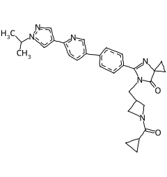 CC(C)n1cc(-c2ccc(-c3ccc(C4=NC5(CC5)C(=O)N4CC4CN(C(=O)C5CC5)C4)cc3)cn2)cn1